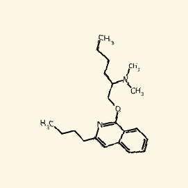 CCCCc1cc2ccccc2c(OCC(CCCC)N(C)C)n1